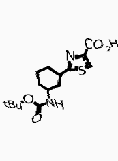 CC(C)(C)OC(=O)NC1CCCC(c2nc(C(=O)O)cs2)C1